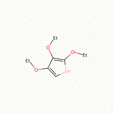 CCOC1=CBC(OCC)=C1OCC